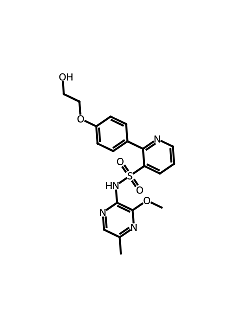 COc1nc(C)cnc1NS(=O)(=O)c1cccnc1-c1ccc(OCCO)cc1